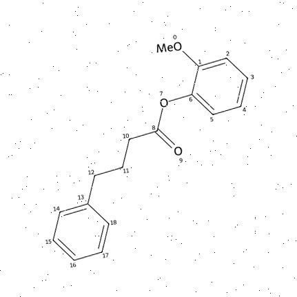 COc1ccccc1OC(=O)CCCc1ccccc1